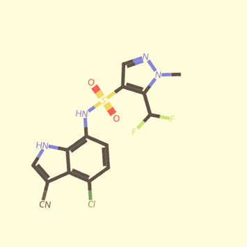 Cn1ncc(S(=O)(=O)Nc2ccc(Cl)c3c(C#N)c[nH]c23)c1C(F)F